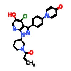 C=CC(=O)N1CCCC(n2nc(-c3ccc(-n4ccc(=O)cc4)cc3)c3c(Cl)c(O)cnc32)C1